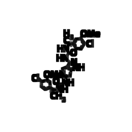 COc1cc([C@@H](C)NC(=O)Nc2cc3[nH]nc(NC(=O)N[C@H](C)c4ccc(Cl)c(OC)c4)c3cn2)ccc1Cl